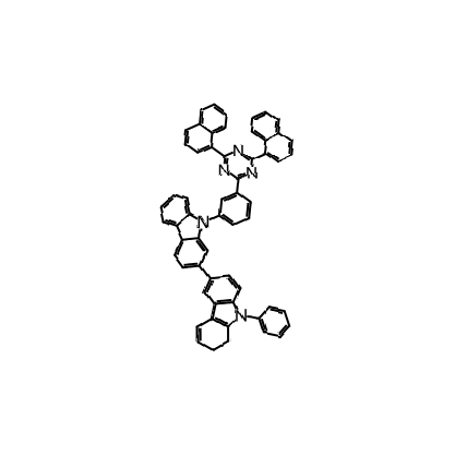 C1=Cc2c(n(-c3ccccc3)c3ccc(-c4ccc5c6ccccc6n(-c6cccc(-c7nc(-c8cccc9ccccc89)nc(-c8cccc9ccccc89)n7)c6)c5c4)cc23)CC1